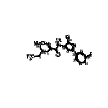 CCN(C(=O)C(C[S+]([O-])CC(F)(F)F)=NOC)c1cn(-c2cncc(F)c2)nc1Cl